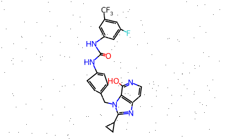 O=C(Nc1ccc(Cn2c(C3CC3)nc3ccnc(O)c32)cc1)Nc1cc(F)cc(C(F)(F)F)c1